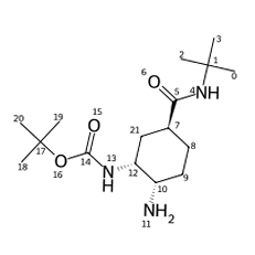 CC(C)(C)NC(=O)[C@H]1CC[C@H](N)[C@H](NC(=O)OC(C)(C)C)C1